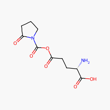 N[C@@H](CCC(=O)OC(=O)N1CCCC1=O)C(=O)O